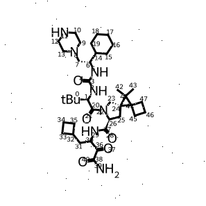 CC(C)(C)[C@@H](NC(=O)N[C@H](CN1CCNCC1)C1CCCCC1)C(=O)N1C[C@]2(C[C@H]1C(=O)NC(CC1CCC1)C(=O)C(N)=O)C(C)(C)C21CCC1